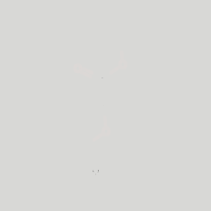 CCC(C)(OCOC)C(=O)OF